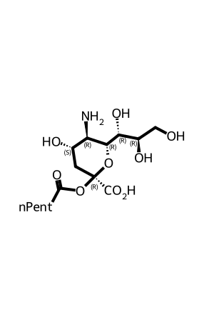 CCCCCC(=O)O[C@@]1(C(=O)O)C[C@H](O)[C@@H](N)[C@H]([C@H](O)[C@H](O)CO)O1